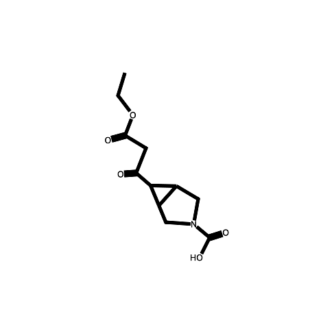 CCOC(=O)CC(=O)C1C2CN(C(=O)O)CC21